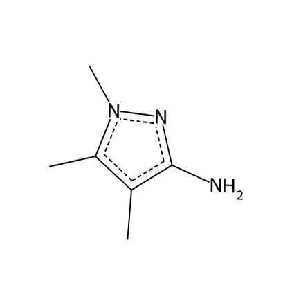 Cc1c(N)nn(C)c1C